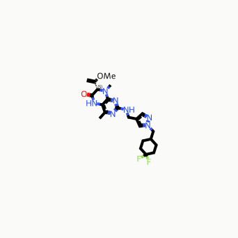 C=C(OC)[C@H]1C(=O)Nc2c(C)nc(NCc3cnn(CC4CCC(F)(F)CC4)c3)nc2N1C